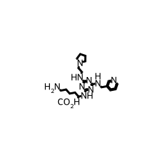 NCCCCC(Nc1nc(NCCN2CCCC2)nc(NCc2cccnc2)n1)C(=O)O